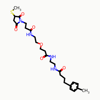 CSC1CC(=O)N(CCC(=O)NCCOCCC(=O)NCCNC(=O)CCCc2ccc(C)cc2)C1=O